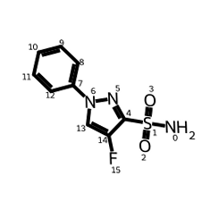 NS(=O)(=O)c1nn(-c2ccccc2)cc1F